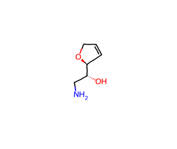 NC[C@@H](O)[C@@H]1C=CCO1